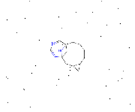 C1=NC=NC23CC4CC4CCCCC1(C2)N3